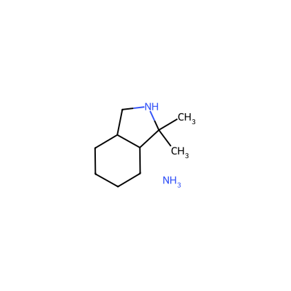 CC1(C)NCC2CCCCC21.N